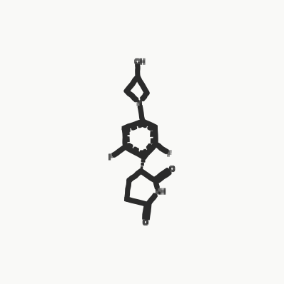 O=C1CC[C@H](c2c(F)cc(N3CC(O)C3)cc2F)C(=O)N1